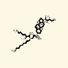 CC(C)CCCC(C)[C@H]1CC[C@H]2[C@@H]3CC=C4C[C@@H](OC(=O)CN(CCCCCCCCN)C(=O)C(N)CCCCN)CC[C@]4(C)[C@H]3CC[C@]12C.Cl.Cl.Cl